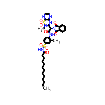 CCCCCCCCCCCCC(=O)NS(=O)(=O)c1ccc(NC(=O)C(C2=Nc3nccnc3S(=O)(=O)N2C)N2C(=O)c3ccccc3C2=O)c(C)c1